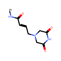 CC(C)NC(=O)/C=C/CN1CC(=O)NC(=O)C1